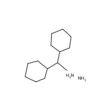 CC(C1CCCCC1)C1CCCCC1.N.N